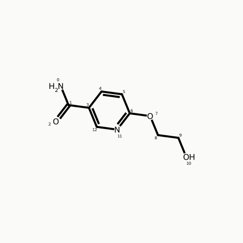 NC(=O)c1ccc(OCCO)nc1